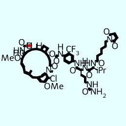 COc1cc2cc(c1Cl)N(C)C(=O)C[C@H](OC(=O)Nc1ccc(NC(=O)[C@H](CCCNC(N)=O)NC(=O)[C@@H](NC(=O)CCCCCN3C(=O)C=CC3=O)C(C)C)cc1C(F)(F)F)[C@]1(C)CC[C@H]1[C@H](C)[C@@H]1C[C@@](O)(NC(=O)O1)[C@H](OC)/C=C/C=C(\C)C2